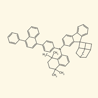 CC1(C)CCC(C)(C)c2c(N(c3ccc(-c4ccc(-c5ccccc5)c5ccccc45)cc3)c3ccc4c(c3)C3(c5ccccc5-4)C4CC5CC6CC3C64C5)cccc21